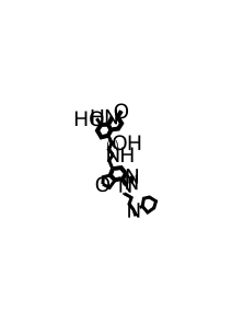 CN(CCCn1nnc2cc(CNC[C@H](O)c3ccc(O)c4[nH]c(=O)ccc34)c3c(c21)COC3)C1CCCCC1